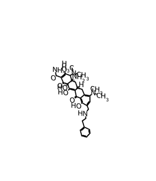 CN(C)c1cc(CNCCc2ccccc2)c(O)c2c1C[C@H]1C[C@@]3(N)C(N(C)C)C(O)=C(C(N)=O)C(=O)[C@@]3(O)C(O)=C1C2=O